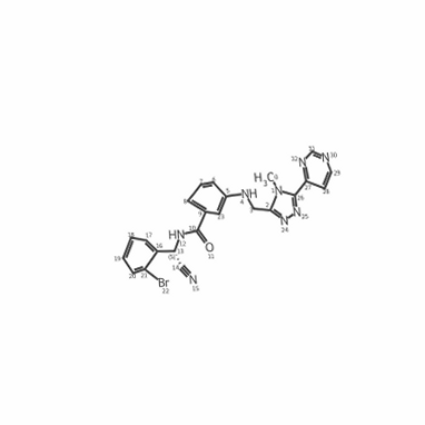 Cn1c(CNc2cccc(C(=O)N[C@H](C#N)c3ccccc3Br)c2)nnc1-c1ccncn1